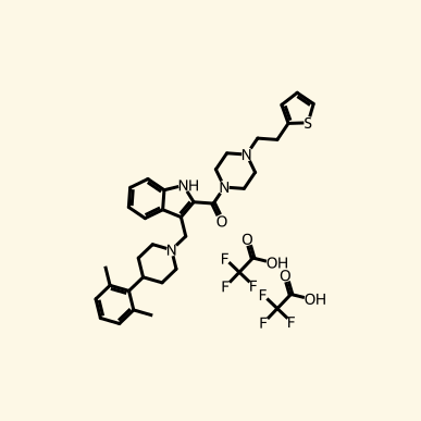 Cc1cccc(C)c1C1CCN(Cc2c(C(=O)N3CCN(CCc4cccs4)CC3)[nH]c3ccccc23)CC1.O=C(O)C(F)(F)F.O=C(O)C(F)(F)F